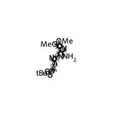 COc1cc2ncc3c(N)nc(-c4cncc(OC[C@@H]5CN5C(=O)OC(C)(C)C)c4)cc3c2cc1OC